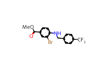 COC(=O)c1ccc(NCc2ccc(C(F)(F)F)cc2)c(Br)c1